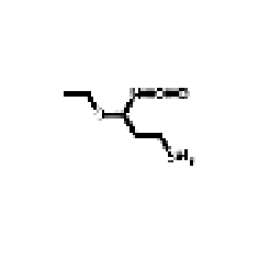 CCOC(CC[SiH3])N=C=O